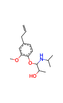 C=CCc1ccc(OC(NC(C)C)C(C)O)c(OC)c1